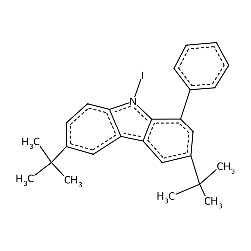 CC(C)(C)c1ccc2c(c1)c1cc(C(C)(C)C)cc(-c3ccccc3)c1n2I